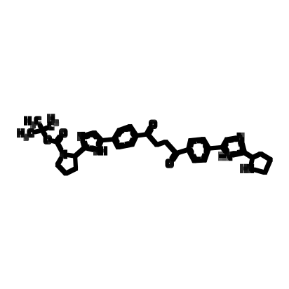 CC(C)(C)OC(=O)N1CCCC1c1ncc(-c2ccc(C(=O)CCC(=O)c3ccc(-c4cnc(C5CCCN5)[nH]4)cc3)cc2)[nH]1